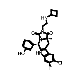 C[C@@]12Cc3c([nH]c4cc(F)c(Cl)cc34)[C@@H](c3cccc(O)c3)N1C(=O)N(CCNC1CCC1)C2=O